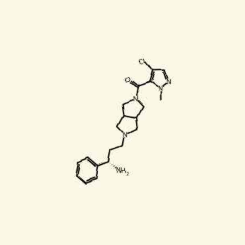 Cn1ncc(Cl)c1C(=O)N1CC2CN(CC[C@H](N)c3ccccc3)CC2C1